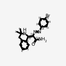 CC1(C)Cc2ccccc2/C(=C(/N=N/c2ccc(Br)cc2)C(N)=O)N1